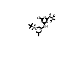 CC(C)C[C@H](CO[Si](C)(C)C(C)(C)C)Nc1nc(Cl)nc(NS(C)(=O)=O)n1